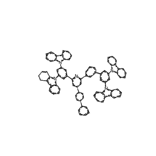 C1=Cc2c(c3ccccc3n2-c2cc(-c3cc(-c4ccc(-c5ccccc5)cc4)cc(-c4cccc(-c5cc(-n6c7ccccc7c7ccccc76)cc(-n6c7ccccc7c7ccccc76)c5)c4)n3)cc(-n3c4ccccc4c4ccccc43)c2)CC1